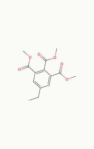 [CH2]Cc1cc(C(=O)OC)c(C(=O)OC)c(C(=O)OC)c1